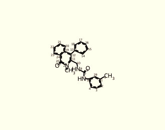 Cc1cccc(NC(=O)NCc2c(-c3ccccc3)c3ccccc3c(=O)n2C)c1